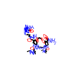 CCn1nc(C)cc1C(=O)Nc1nc2cc(C(N)=O)cc3c2n1C/C=C/Cn1c(NC(=O)c2cc(C)nn2CC)nc2cc(C(=O)NCCCn4nn[nH]c4=O)cc(c21)OCCCO3